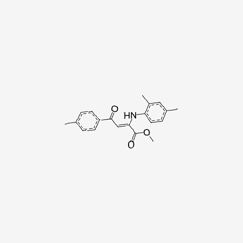 COC(=O)/C(=C/C(=O)c1ccc(C)cc1)Nc1ccc(C)cc1C